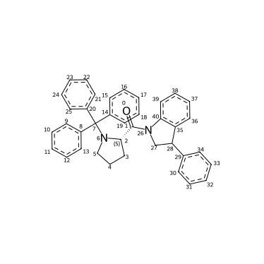 O=C([C@@H]1CCCN1C(c1ccccc1)(c1ccccc1)c1ccccc1)N1CC(c2ccccc2)c2ccccc21